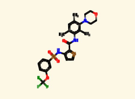 Cc1cc(C)c(N2CCOCC2)c(C)c1NC(=O)c1sccc1NS(=O)(=O)c1cccc(OC(F)(F)F)c1